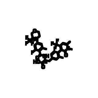 Cc1cc(C[C@H](NC(=O)c2c(C)cc(N3CCOC[C@@H]3C(F)(F)F)cc2F)C(=O)O)ccc1-c1c(C(F)(F)F)cc(C)n(C)c1=O